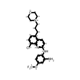 Nc1cc(OC(F)(F)F)ccc1Nc1ccc2c(CCCN3CCOCC3)ccc(Cl)c2n1